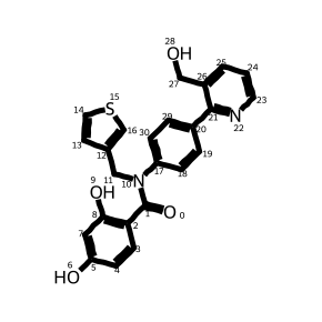 O=C(c1ccc(O)cc1O)N(Cc1ccsc1)c1ccc(-c2ncccc2CO)cc1